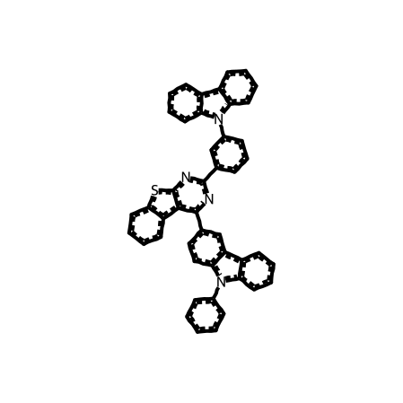 c1ccc(-n2c3ccccc3c3cc(-c4nc(-c5cccc(-n6c7ccccc7c7ccccc76)c5)nc5sc6ccccc6c45)ccc32)cc1